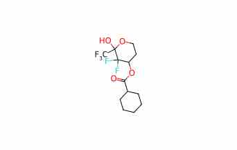 O=C(OC1CCOC(O)(C(F)(F)F)C1(F)F)C1CCCCC1